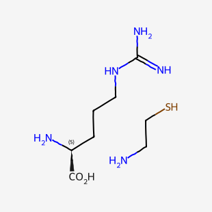 N=C(N)NCCC[C@H](N)C(=O)O.NCCS